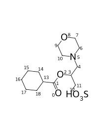 O=C(OC(CN1CCOCC1)CS(=O)(=O)O)C1CCCCC1